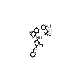 CS(=O)(=O)Nc1cc(-c2ccc3ncnc(Nc4ccc(OCc5ccccn5)c(Cl)c4)c3c2)cnc1Cl